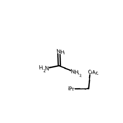 CC(=O)OCC(C)C.N=C(N)N